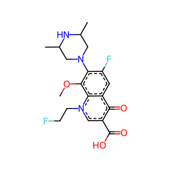 COc1c(N2CC(C)NC(C)C2)c(F)cc2c(=O)c(C(=O)O)cn(CCF)c12